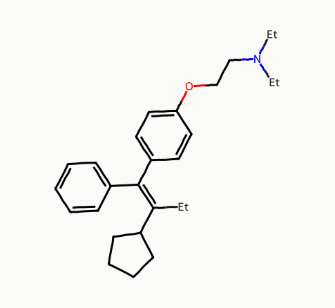 CCC(=C(c1ccccc1)c1ccc(OCCN(CC)CC)cc1)C1CCCC1